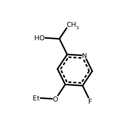 CCOc1cc(C(C)O)ncc1F